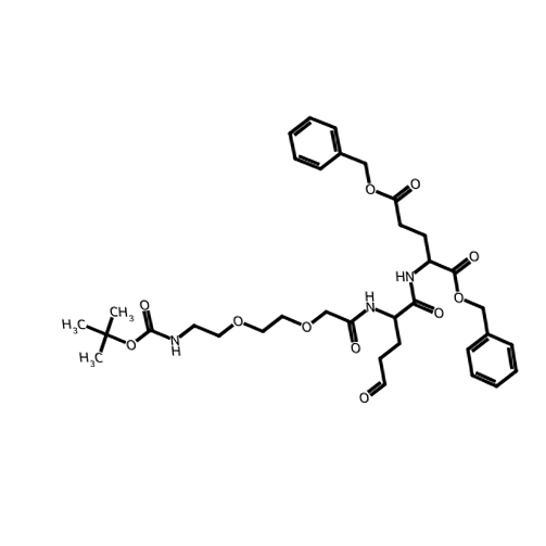 CC(C)(C)OC(=O)NCCOCCOCC(=O)NC(CCC=O)C(=O)NC(CCC(=O)OCc1ccccc1)C(=O)OCc1ccccc1